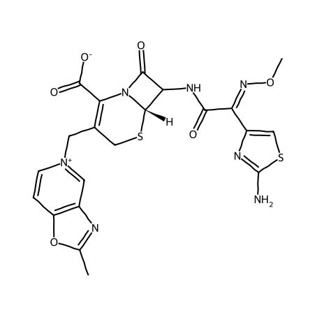 CON=C(C(=O)NC1C(=O)N2C(C(=O)[O-])=C(C[n+]3ccc4oc(C)nc4c3)CS[C@@H]12)c1csc(N)n1